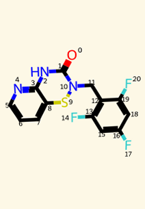 O=C1Nc2ncccc2SN1Cc1c(F)cc(F)cc1F